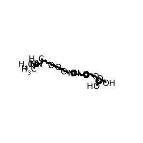 CN/C(C)=C\NCC(C)CCCOCCOCCOCCN1C=CN(CCc2ccc(CCOC3CC(O)CC(CO)O3)cc2)CC1